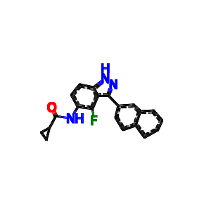 O=C(Nc1ccc2[nH]nc(-c3ccc4ccccc4c3)c2c1F)C1CC1